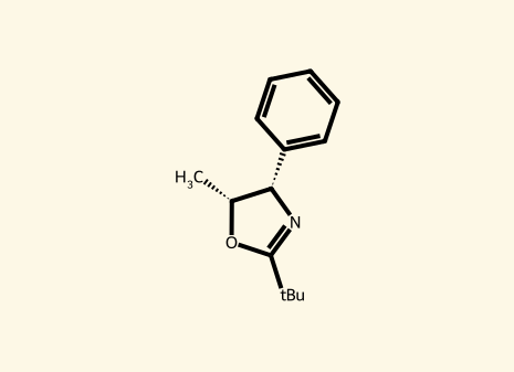 C[C@H]1OC(C(C)(C)C)=N[C@H]1c1ccccc1